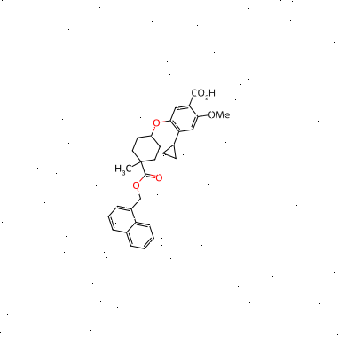 COc1cc(C2CC2)c(OC2CCC(C)(C(=O)OCc3cccc4ccccc34)CC2)cc1C(=O)O